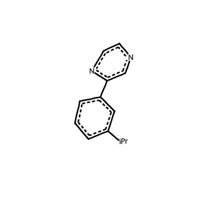 CC(C)c1cccc(-c2cnccn2)c1